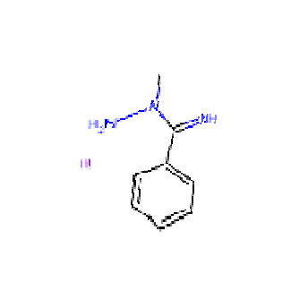 CN(N)C(=N)c1ccccc1.I